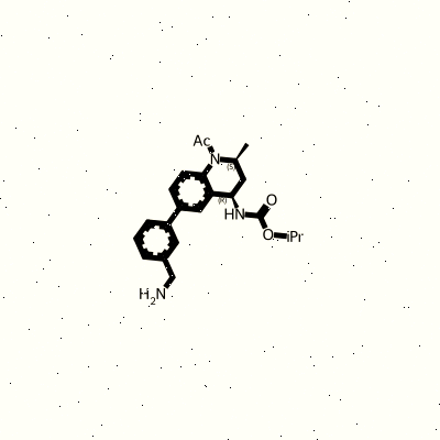 CC(=O)N1c2ccc(-c3cccc(CN)c3)cc2[C@H](NC(=O)OC(C)C)C[C@@H]1C